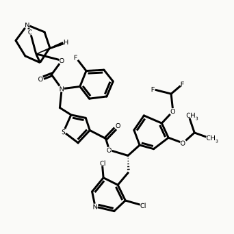 CC(C)Oc1cc([C@H](Cc2c(Cl)cncc2Cl)OC(=O)c2csc(CN(C(=O)O[C@H]3CN4CCC3CC4)c3ccccc3F)c2)ccc1OC(F)F